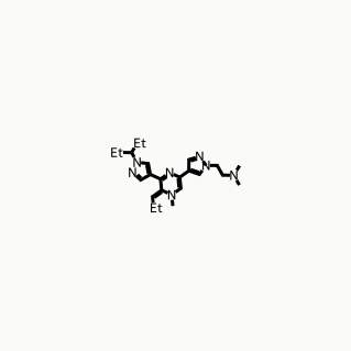 CC/C=C1/C(c2cnn(C(CC)CC)c2)=NC(c2cnn(CCN(C)C)c2)=CN1C